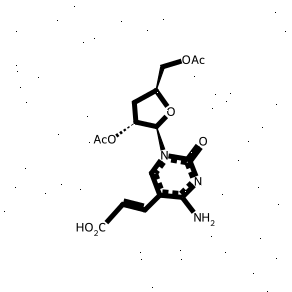 CC(=O)OC[C@@H]1C[C@@H](OC(C)=O)[C@H](n2cc(/C=C/C(=O)O)c(N)nc2=O)O1